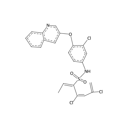 C=C(Cl)/C=C(Cl)\C(=C/C)S(=O)(=O)Nc1ccc(Oc2cnc3ccccc3c2)c(Cl)c1